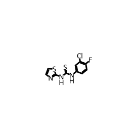 Fc1ccc(NC(=S)Nc2nccs2)cc1Cl